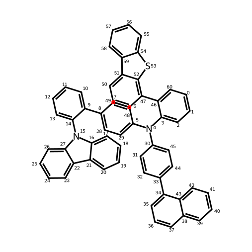 c1ccc(N(c2ccc(-c3ccccc3-n3c4ccccc4c4ccccc43)cc2)c2ccc(-c3cccc4ccccc34)cc2)c(-c2cccc3c2sc2ccccc23)c1